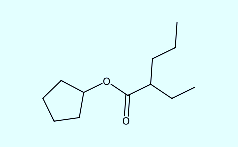 CCCC(CC)C(=O)OC1CCCC1